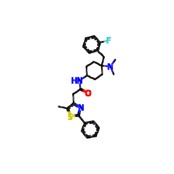 Cc1sc(-c2ccccc2)nc1CC(=O)NC1CCC(Cc2ccccc2F)(N(C)C)CC1